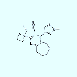 CCC1(c2nc3c(c(-c4cnn(C)c4)c2C#N)CCCCC3)CCC1